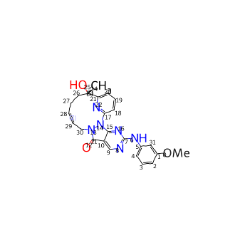 COc1cccc(Nc2ncc3c(=O)n4n(c3n2)-c2cccc(n2)[C@@](C)(O)CC/C=C\C4)c1